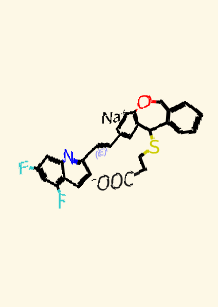 O=C([O-])CCSC1c2ccccc2COc2ccc(/C=C/c3ccc4c(F)cc(F)cc4n3)cc21.[Na+]